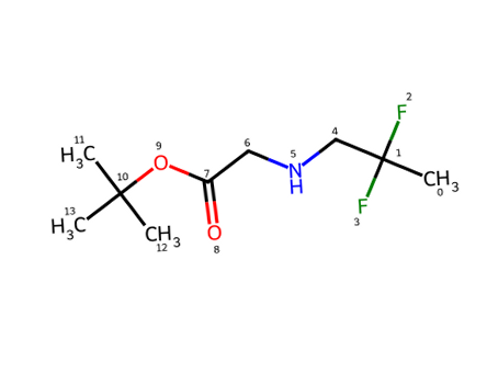 CC(F)(F)CNCC(=O)OC(C)(C)C